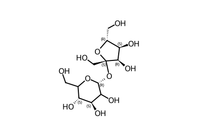 OCC1O[C@H](O[C@]2(CO)O[C@H](CO)[C@@H](O)[C@H]2O)C(O)[C@@H](O)[C@@H]1O